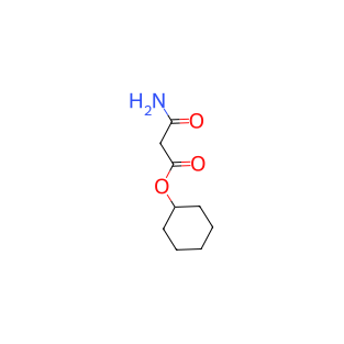 NC(=O)CC(=O)OC1CCCCC1